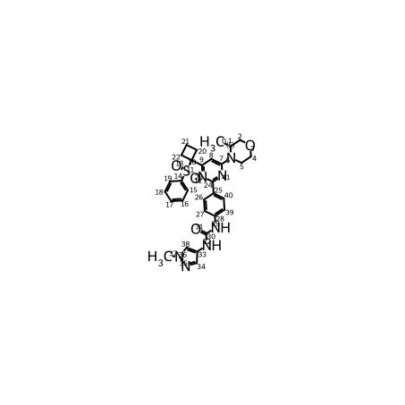 C[C@H]1COCCN1c1cc(C2(S(=O)(=O)c3ccccc3)CCC2)nc(-c2ccc(NC(=O)Nc3cnn(C)c3)cc2)n1